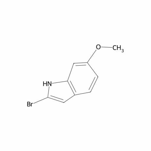 COc1ccc2cc(Br)[nH]c2c1